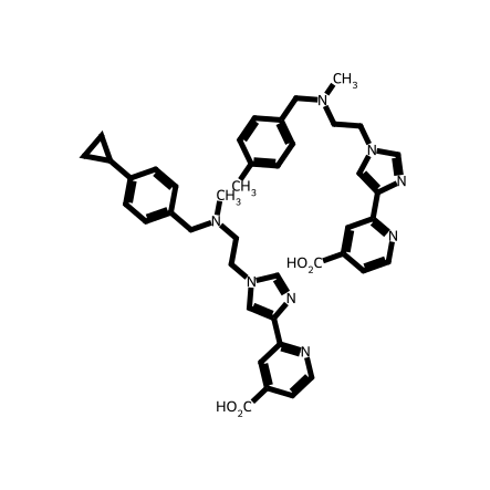 CN(CCn1cnc(-c2cc(C(=O)O)ccn2)c1)Cc1ccc(C2CC2)cc1.Cc1ccc(CN(C)CCn2cnc(-c3cc(C(=O)O)ccn3)c2)cc1